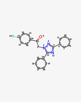 O=C(Cn1nc(-c2ccccc2)nc1-c1ccccc1)c1ccc(F)cc1